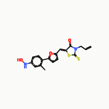 C=CCN1C(=O)/C(=C/c2ccc(-c3ccc(NO)cc3C)o2)SC1=S